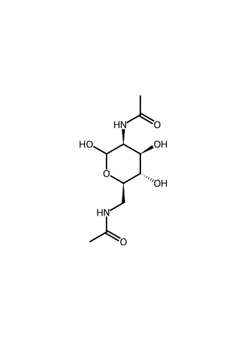 CC(=O)NC[C@H]1OC(O)[C@@H](NC(C)=O)[C@@H](O)[C@@H]1O